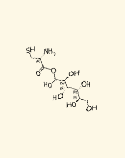 N[C@@H](CS)C(=O)OC(O)[C@@H](O)[C@@H](O)[C@H](O)[C@H](O)CO